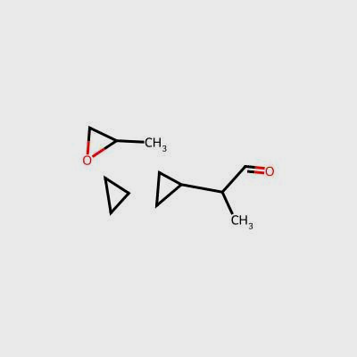 C1CC1.CC(C=O)C1CC1.CC1CO1